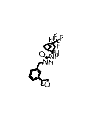 O=C(NCc1cccc(C2COC2)c1)N[C@@H]1C[C@H](C(F)(F)F)C2CC1C2